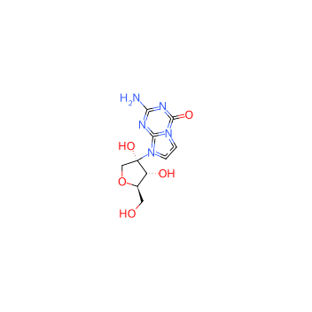 Nc1nc(=O)n2ccn([C@]3(O)CO[C@H](CO)[C@H]3O)c2n1